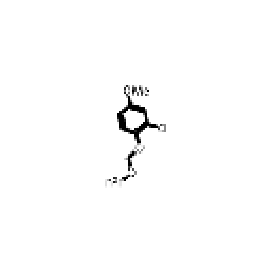 CCCO[CH]Oc1ccc(OC)cc1Cl